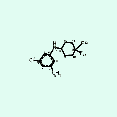 Cc1cc(Cl)cc(NC2CCC(F)(F)CC2)c1